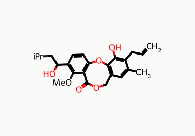 C=CCc1c(C)cc2c(c1O)Oc1ccc(C(O)CC(C)C)c(OC)c1C(=O)OC2